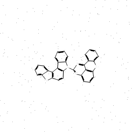 c1ccc2c(c1)Sc1cccc3nc(-n4c5ccccc5c5c6c(ccc54)sc4ccccc46)nc-2c13